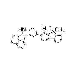 CC1(C)c2ccccc2-c2ccc(-c3ccc4[nH]c5c(c4c3)-c3cccc4cccc-5c34)cc21